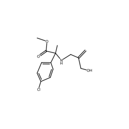 C=C(CO)CNC(C)(C(=O)OC)c1ccc(Cl)cc1